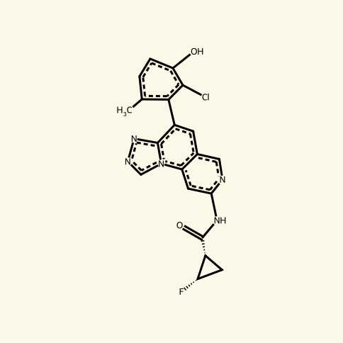 Cc1ccc(O)c(Cl)c1-c1cc2cnc(NC(=O)[C@@H]3C[C@@H]3F)cc2n2cnnc12